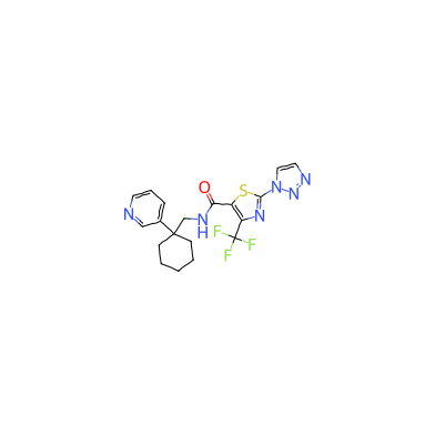 O=C(NCC1(c2cccnc2)CCCCC1)c1sc(-n2ccnn2)nc1C(F)(F)F